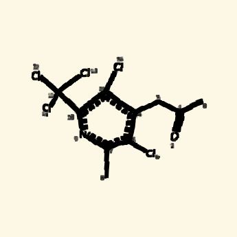 CC(=O)Cc1c(Cl)c(C)nc(C(Cl)(Cl)Cl)c1Cl